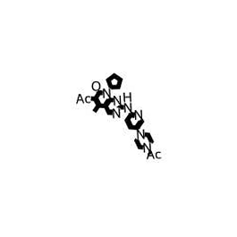 CC(=O)c1c(C)c2cnc(Nc3ccc(N4CCN(C(C)=O)CC4)cn3)nc2n(C2CCCC2)c1=O